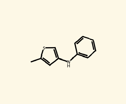 Cc1cc(Nc2ccccc2)cs1